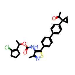 CC(=O)C1(c2ccc(-c3ccc(-c4snc(C)c4NC(=O)OC(C)C4=C(Cl)CCC4)cc3)cc2)CC1